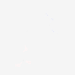 Nc1n[nH]c2ccc(-c3cccc(OCC(=O)O)c3)cc12